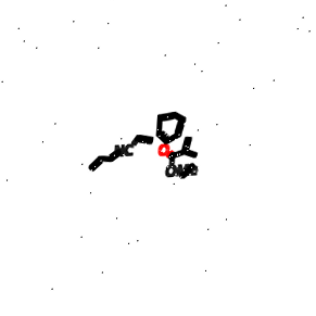 C=C.C=C(C)C(=O)OC.C=CC#N.C=CC=C.c1ccccc1